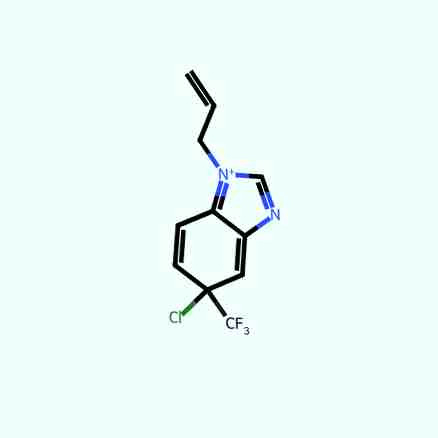 C=CC[N+]1=C2C=CC(Cl)(C(F)(F)F)C=C2N=C1